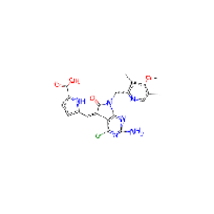 COc1c(C)cnc(CN2C(=O)C(=Cc3ccc(C(=O)O)[nH]3)c3c(Cl)nc(N)nc32)c1C